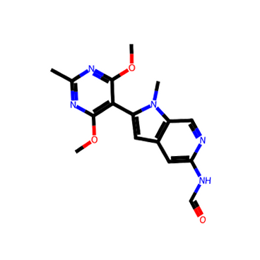 COc1nc(C)nc(OC)c1-c1cc2cc(NC=O)ncc2n1C